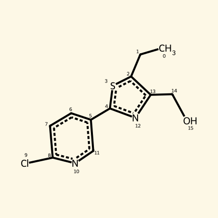 CCc1sc(-c2ccc(Cl)nc2)nc1CO